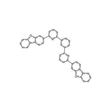 c1cc(-c2cccc(-c3ccc4c(c3)oc3ccccc34)n2)cc(-c2cccc(-c3ccc4c(c3)oc3ccccc34)n2)c1